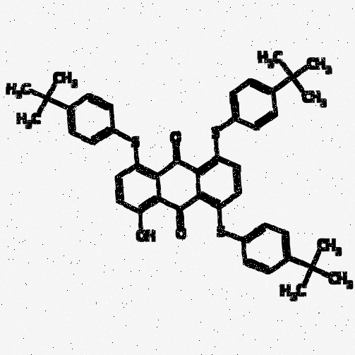 CC(C)(C)c1ccc(Sc2ccc(O)c3c2C(=O)c2c(Sc4ccc(C(C)(C)C)cc4)ccc(Sc4ccc(C(C)(C)C)cc4)c2C3=O)cc1